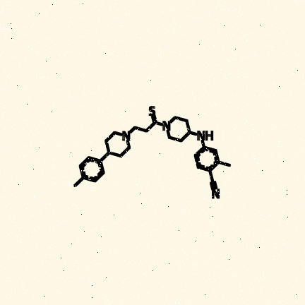 Cc1ccc(C2CCN(CCC(=S)N3CCC(Nc4ccc(C#N)c(C)c4)CC3)CC2)cc1